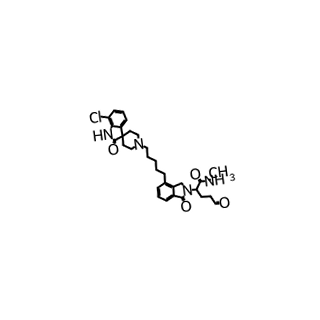 CNC(=O)C(CCC=O)N1Cc2c(CCCCCN3CCC4(CC3)C(=O)Nc3c(Cl)cccc34)cccc2C1=O